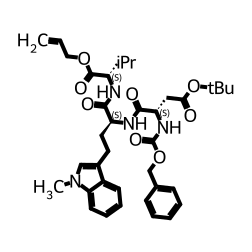 C=CCOC(=O)[C@@H](NC(=O)[C@H](CCc1cn(C)c2ccccc12)NC(=O)[C@H](CC(=O)OC(C)(C)C)NC(=O)OCc1ccccc1)C(C)C